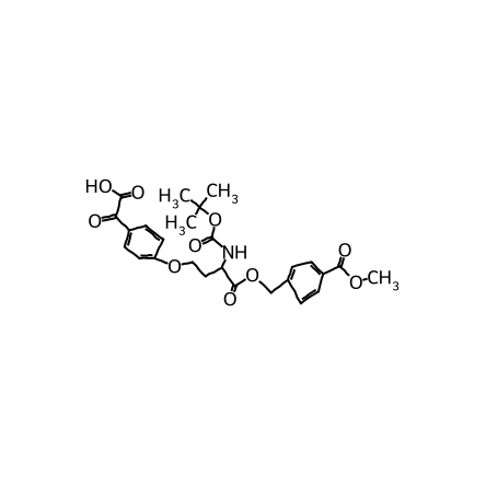 COC(=O)c1ccc(COC(=O)C(CCOc2ccc(C(=O)C(=O)O)cc2)NC(=O)OC(C)(C)C)cc1